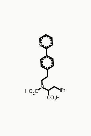 CC(C)CC(C(=O)O)N(CCc1ccc(-c2ccccn2)cc1)C(=O)O